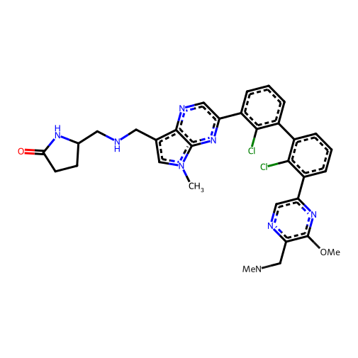 CNCc1ncc(-c2cccc(-c3cccc(-c4cnc5c(CNCC6CCC(=O)N6)cn(C)c5n4)c3Cl)c2Cl)nc1OC